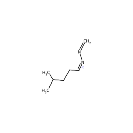 C=N/N=C\CCC(C)C